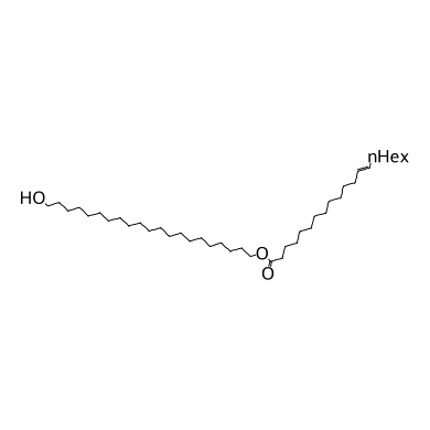 CCCCCCC=CCCCCCCCCCCCC(=O)OCCCCCCCCCCCCCCCCCCCCCO